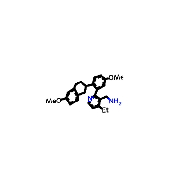 CCc1ccnc(-c2cc(OC)ccc2C2CCc3cc(OC)ccc3C2)c1CN